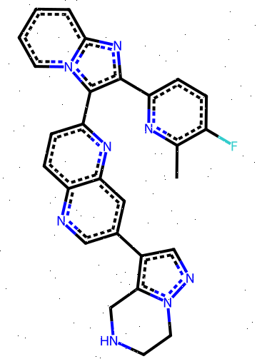 Cc1nc(-c2nc3ccccn3c2-c2ccc3ncc(-c4cnn5c4CNCC5)cc3n2)ccc1F